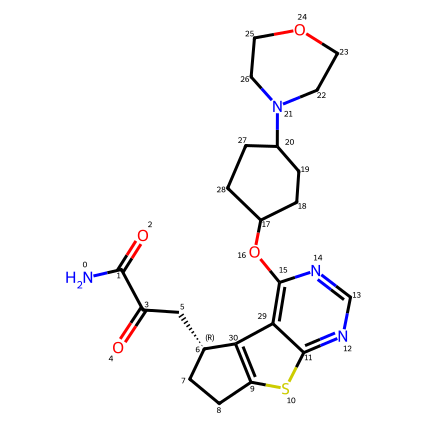 NC(=O)C(=O)C[C@H]1CCc2sc3ncnc(OC4CCC(N5CCOCC5)CC4)c3c21